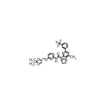 Cc1nc(-c2cccc(C(F)(F)F)c2)nc2c1N1CCC(C1)N2C(=O)Nc1nccc(OC[C@H]2COC(C)(C)O2)n1